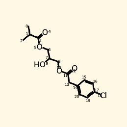 CC(C)C(=O)OCC(O)COC(=O)Cc1ccc(Cl)cc1